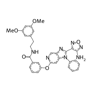 COc1cc(CCNC(=O)c2cccc(Oc3cc4c(cn3)nc(-c3nonc3N)n4-c3ccccc3)c2)cc(OC)c1